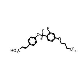 O=C(O)C=Cc1ccc(OC(F)(F)c2ccc(OCCCC(F)(F)F)cc2F)cc1